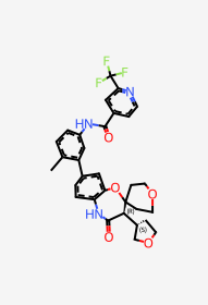 Cc1ccc(NC(=O)c2ccnc(C(F)(F)F)c2)cc1-c1ccc2c(c1)OC1(CCOCC1)[C@@H]([C@@H]1CCOC1)C(=O)N2